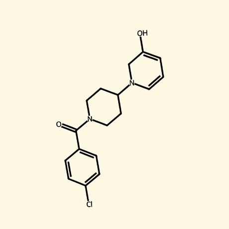 O=C(c1ccc(Cl)cc1)N1CCC(N2C=CC=C(O)C2)CC1